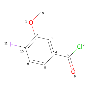 COc1cc(C(=O)Cl)ccc1I